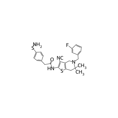 CC1(C)Cc2sc(NC(=O)Cc3ccc(SN)cc3)c(C#N)c2CN1Cc1cccc(F)c1